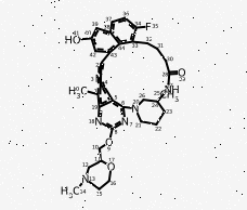 Cc1c2ncc3c(nc(OC[C@@H]4CN(C)CCO4)nc13)N1CCC[C@](C)(C1)NC(=O)CCCc1c(F)ccc3cc(O)cc-2c13